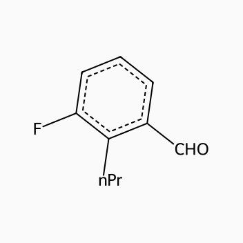 CCCc1c(F)cccc1C=O